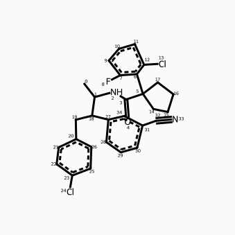 CC(NC(=O)C1(c2c(F)cccc2Cl)CCCC1)C(Cc1ccc(Cl)cc1)c1cccc(C#N)c1